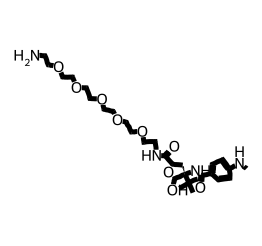 CNc1ccc(C(=O)N[C@](CCC(=O)NCCOCCOCCOCCOCCOCCN)(C(=O)O)C(C)(C)C)cc1